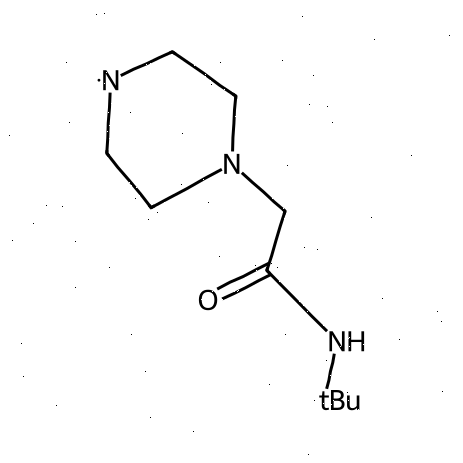 CC(C)(C)NC(=O)CN1CC[N]CC1